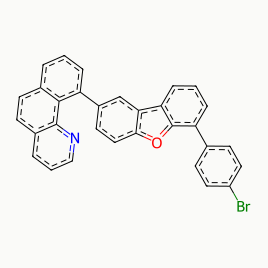 Brc1ccc(-c2cccc3c2oc2ccc(-c4cccc5ccc6cccnc6c45)cc23)cc1